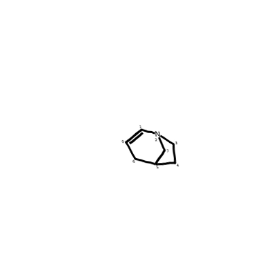 C1=CN2CCC(C1)C2